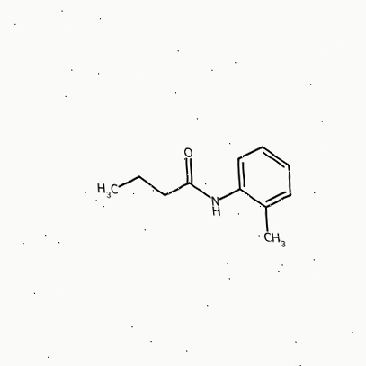 CCCC(=O)Nc1ccccc1C